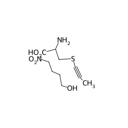 CC#CSCC(N)C(=O)O.O=[N+]([O-])CCCCO